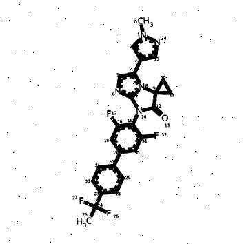 Cn1cc(-c2cnc3n2C2(CC2)C(=O)N3c2c(F)cc(-c3ccc(C(C)(F)F)cc3)cc2F)cn1